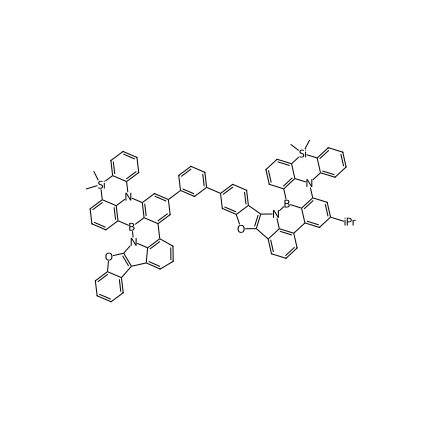 CC(C)c1cc2c3c(c1)N1c4ccccc4[Si](C)(C)c4cccc(c41)B3n1c3c-2cccc3c2oc3cc(-c4cccc(-c5cc6c7c(c5)N5c8ccccc8[Si](C)(C)c8cccc(c85)B7n5c7oc8ccccc8c7c7cccc-6c75)c4)ccc3c21